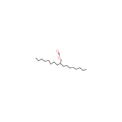 CCCCCCCCC(CCCCCCCC)COC=O